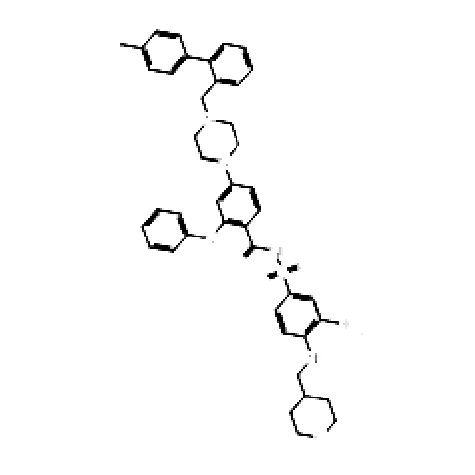 O=C(NS(=O)(=O)c1ccc(NCC2CCOCC2)c([N+](=O)[O-])c1)c1ccc(N2CCN(Cc3ccccc3-c3ccc(Cl)cc3)CC2)cc1Nc1ccccc1